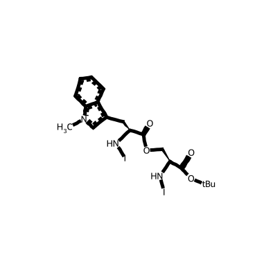 Cn1cc(C[C@H](NI)C(=O)OC[C@H](NI)C(=O)OC(C)(C)C)c2ccccc21